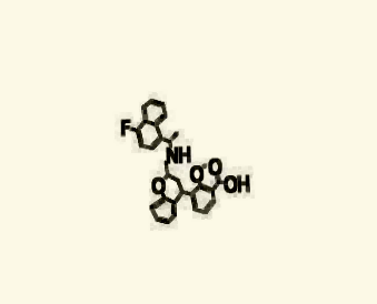 COc1c(C(=O)O)cccc1C1CC(CN[C@H](C)c2ccc(F)c3ccccc23)Oc2ccccc21